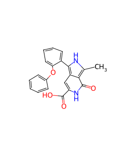 Cc1[nH]c(-c2ccccc2Oc2ccccc2)c2cc(C(=O)O)[nH]c(=O)c12